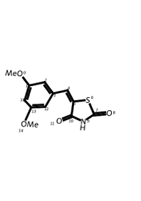 COc1cc(C=C2SC(=O)NC2=O)cc(OC)c1